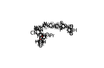 CC(C)Oc1ccc(CN2[C@@H]3COC[C@H]2CN(c2ccc(-c4nc(-c5cnn(C6CCC(N7CCN(c8c(F)cc(NC9CCC(=O)NC9=O)cc8F)CC7)CC6)c5)cn5ncc(C#N)c45)cn2)C3)cn1